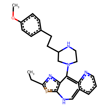 CCc1nc2c(s1)NC=c1cccnc1=C2N1CCNC(CCc2ccc(OC)cc2)C1